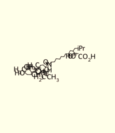 C=C(C)[C@@H]1CCC2(C(=O)NCCCCCCCC(=O)CC(CC(C)C)[C@@H](O)CC(=O)O)CC[C@]3(C)C(CCC4C5(C)CCC(O)C(C)(C)[C@@H]5CCC43C)[C@@H]12